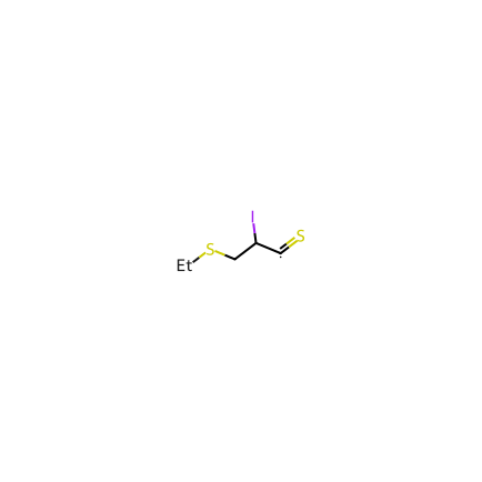 CCSCC(I)[C]=S